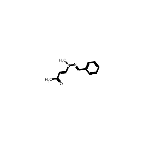 CC(=O)C=CN(C)N=Cc1ccccc1